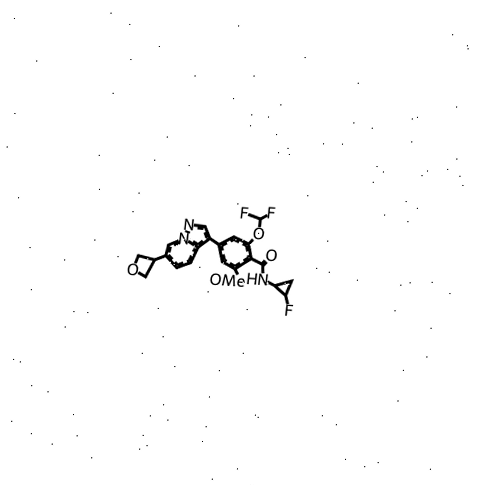 COc1cc(-c2cnn3cc(C4COC4)ccc23)cc(OC(F)F)c1C(=O)NC1CC1F